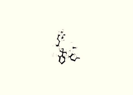 Cc1ccc(NC(=O)C2(c3ccccc3C(C)C)CN(C(=O)CCC(=O)S(C)(=O)=O)C2)c(OC(F)F)n1